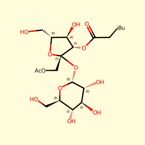 CCC(C)CC(=O)O[C@H]1[C@H](O)[C@@H](CO)O[C@@]1(COC(C)=O)O[C@H]1O[C@H](CO)[C@@H](O)[C@H](O)[C@H]1O